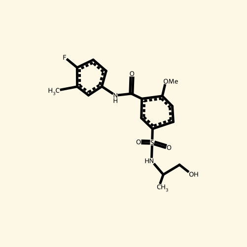 COc1ccc(S(=O)(=O)NC(C)CO)cc1C(=O)Nc1ccc(F)c(C)c1